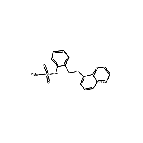 CCCCS(=O)(=O)Nc1ccccc1COc1cccc2cccnc12